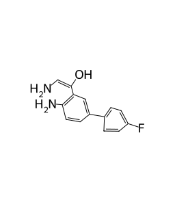 N/C=C(/O)c1cc(-c2ccc(F)cc2)ccc1N